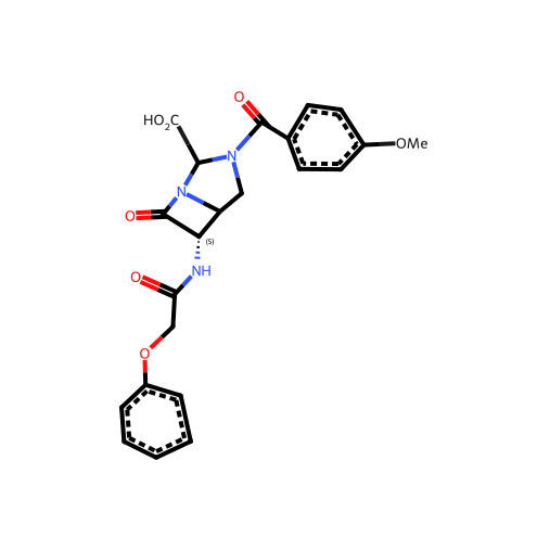 COc1ccc(C(=O)N2CC3[C@H](NC(=O)COc4ccccc4)C(=O)N3C2C(=O)O)cc1